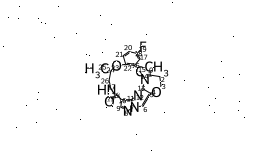 C[C@@H]1CCOc2cn3ncc4c3nc2N1Cc1cc(F)ccc1O[C@@H](C)CNC4=O